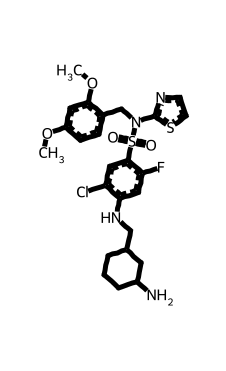 COc1ccc(CN(c2nccs2)S(=O)(=O)c2cc(Cl)c(NCC3CCCC(N)C3)cc2F)c(OC)c1